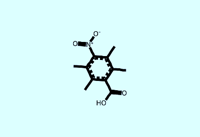 Cc1c(C)c([N+](=O)[O-])c(C)c(C)c1C(=O)O